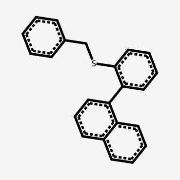 [c]1cccc(-c2cccc3ccccc23)c1SCc1ccccc1